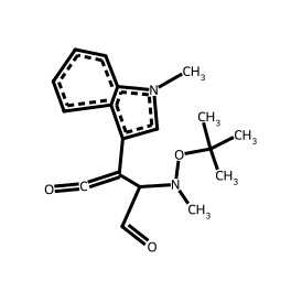 CN(OC(C)(C)C)C(C=O)C(=C=O)c1cn(C)c2ccccc12